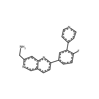 NCc1cc2nc(-c3ccc(F)c(-c4ccncc4)c3)ccc2cn1